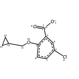 O=[N+]([O-])c1cc(Cl)ccc1OCC1CC1